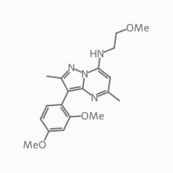 COCCNc1cc(C)nc2c(-c3ccc(OC)cc3OC)c(C)nn12